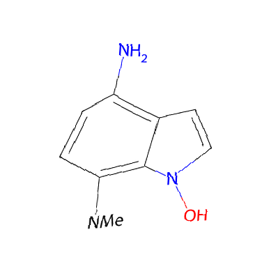 CNc1ccc(N)c2ccn(O)c12